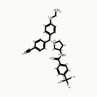 CCOc1ccc([C@@H](c2ccc(C#N)cc2)N2CCC(NC(=O)c3ccc(C(F)(F)F)cc3)C2)cc1